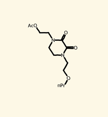 CCCOCCN1CCN(CCOC(C)=O)C(=O)C1=O